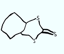 S=C1SC2CCCCC2S1